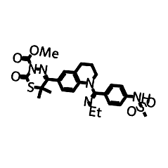 CCN=C(c1ccc(NS(C)(=O)=O)cc1)N1CCCc2cc(C3=NN(C(=O)OC)C(=O)SC3(C)C)ccc21